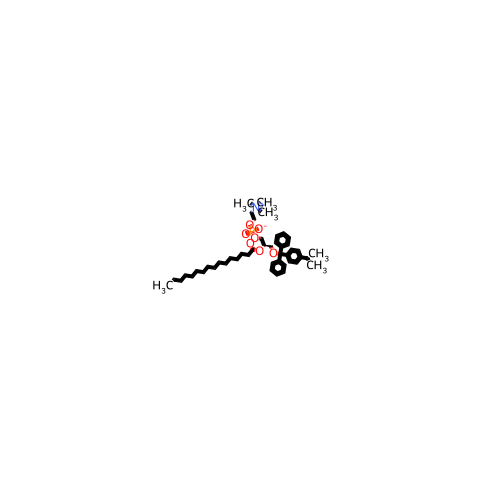 CCCCCCCCCCCCCCCC(=O)O[C@H](COC(c1ccccc1)(c1ccccc1)c1ccc(C(C)C)cc1)COP(=O)([O-])OCC[N+](C)(C)C